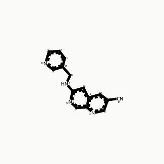 N#Cc1cnc2cnc(NCc3cccnc3)cc2c1